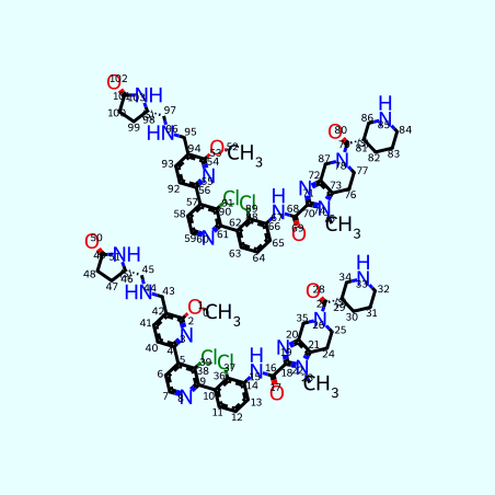 COc1nc(-c2ccnc(-c3cccc(NC(=O)c4nc5c(n4C)CCN(C(=O)[C@H]4CCCNC4)C5)c3Cl)c2Cl)ccc1CNC[C@@H]1CCC(=O)N1.COc1nc(-c2ccnc(-c3cccc(NC(=O)c4nc5c(n4C)CCN(C(=O)[C@H]4CCCNC4)C5)c3Cl)c2Cl)ccc1CNC[C@@H]1CCC(=O)N1